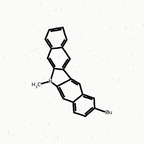 CCC(C)c1ccc2cc3c(cc2c1)c1cc2ccccc2cc1n3C